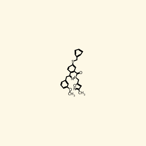 COc1cccc(Cc2nn(Cc3cc(C)no3)c(=O)c3cc(SCc4ccccc4)ccc23)c1